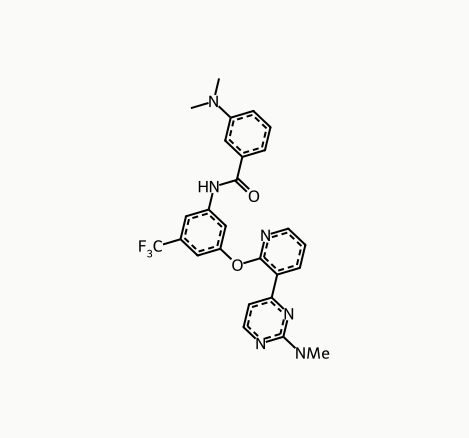 CNc1nccc(-c2cccnc2Oc2cc(NC(=O)c3cccc(N(C)C)c3)cc(C(F)(F)F)c2)n1